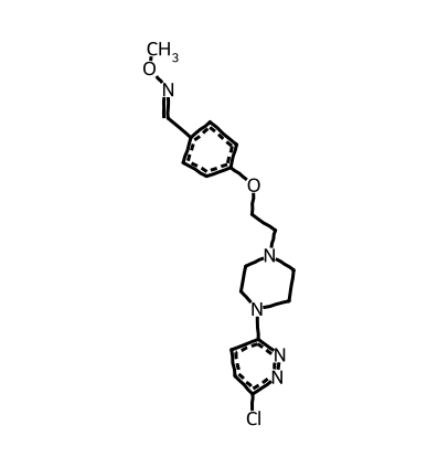 CON=Cc1ccc(OCCN2CCN(c3ccc(Cl)nn3)CC2)cc1